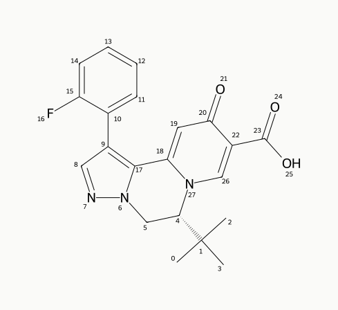 CC(C)(C)[C@@H]1Cn2ncc(-c3ccccc3F)c2-c2cc(=O)c(C(=O)O)cn21